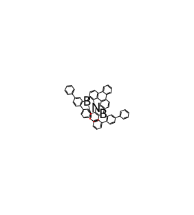 c1ccc(-c2ccc(-c3ccccc3)c(B3c4cccc5c4-n4c6c3ccc3c7ccccc7c7ccc(c4c7c36)B5c3cc(-c4ccccc4)ccc3-c3ccccc3)c2)cc1